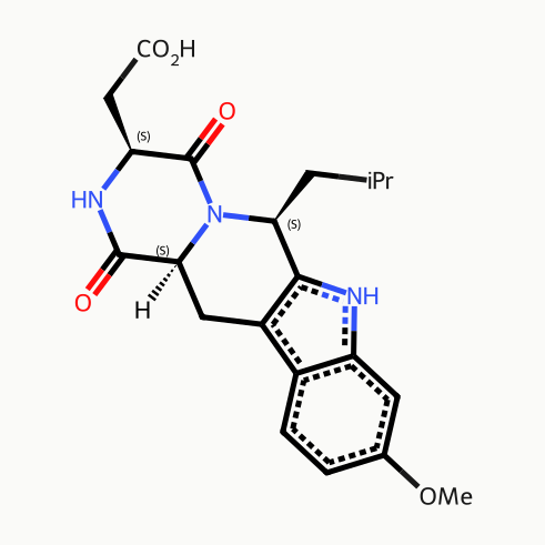 COc1ccc2c3c([nH]c2c1)[C@H](CC(C)C)N1C(=O)[C@H](CC(=O)O)NC(=O)[C@@H]1C3